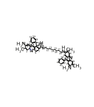 CC1=C/C(=N/c2ccc(NCCCCCCCCCNc3cc4c(cc3C)nc3cc(C)c(N)cc3[n+]4-c3ccccc3)c(C)c2Nc2ccccc2)CC=C1N